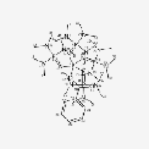 CN(C)P(=NP(N=P(N(C)C)(N(C)C)N(C)C)(N=P(N(C)C)(N(C)C)N(C)C)(N=P(N(C)C)(N(C)C)N(C)C)OC(=O)c1ccccc1)(N(C)C)N(C)C